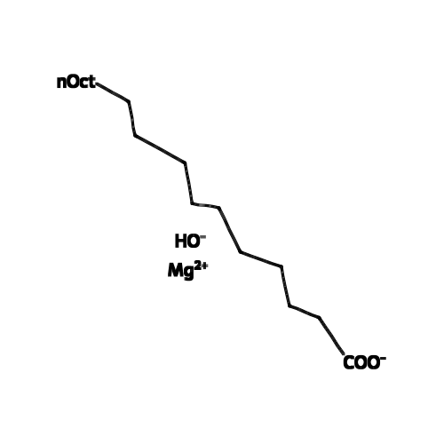 CCCCCCCCCCCCCCCCCC(=O)[O-].[Mg+2].[OH-]